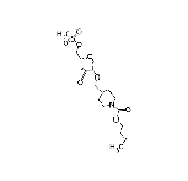 CCCCOC(=O)N1CCC(COc2coc(COS(C)(=O)=O)cc2=O)CC1